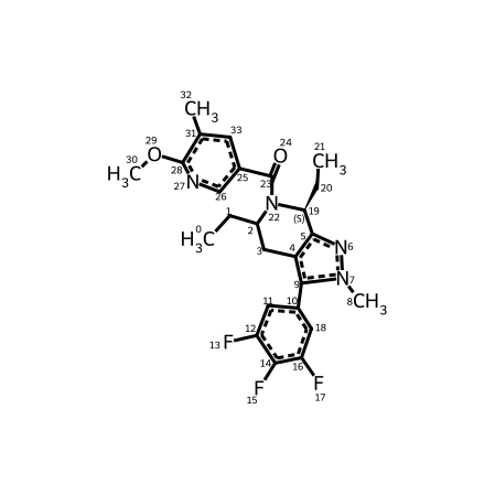 CCC1Cc2c(nn(C)c2-c2cc(F)c(F)c(F)c2)[C@H](CC)N1C(=O)c1cnc(OC)c(C)c1